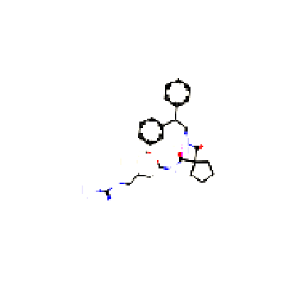 N=C(N)NCCC[C@H](NC(=O)C1(C(=O)NCC(c2ccccc2)c2ccccc2)CCCC1)OBO